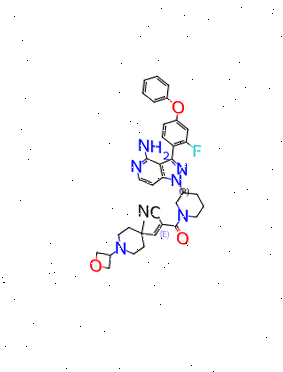 CC1(/C=C(\C#N)C(=O)N2CCC[C@@H](n3nc(-c4ccc(Oc5ccccc5)cc4F)c4c(N)nccc43)C2)CCN(C2COC2)CC1